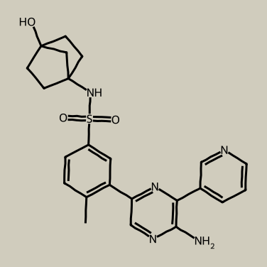 Cc1ccc(S(=O)(=O)NC23CCC(O)(CC2)C3)cc1-c1cnc(N)c(-c2cccnc2)n1